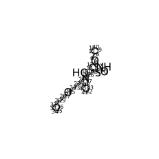 O=c1[nH]c2c(OCc3ccccc3)ccc(CC(O)N(CCCCCCOCCCCc3ccccc3)Cc3ccccc3)c2s1